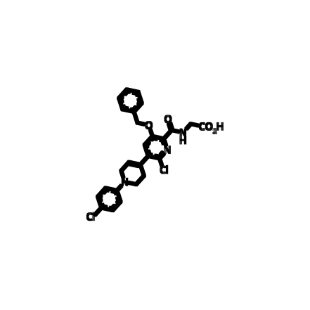 O=C(O)CNC(=O)c1nc(Cl)c(C2=CCN(c3ccc(Cl)cc3)CC2)cc1OCc1ccccc1